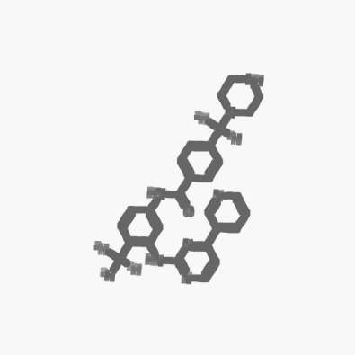 [2H]C([2H])([2H])c1ccc(NC(=O)c2ccc(C([2H])([2H])N3CCNCC3)cc2)cc1Nc1nccc(-c2cccnc2)n1